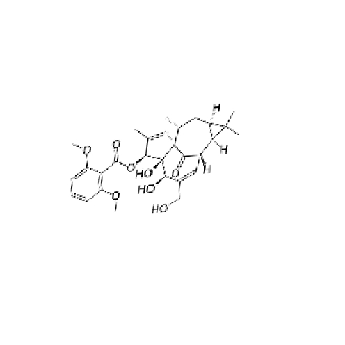 COc1cccc(OC)c1C(=O)O[C@H]1C(C)=C[C@]23C(=O)[C@@H](C=C(CO)[C@@H](O)[C@]12O)[C@H]1[C@@H](C[C@H]3C)C1(C)C